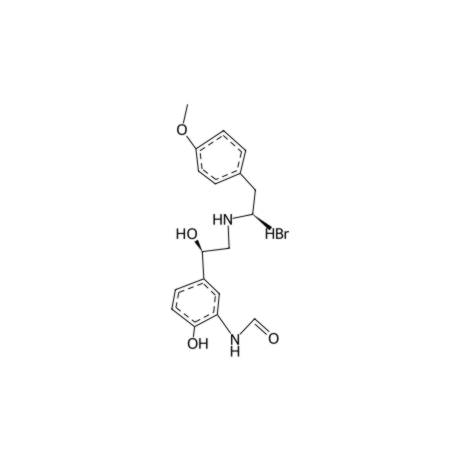 Br.COc1ccc(C[C@@H](C)NC[C@H](O)c2ccc(O)c(NC=O)c2)cc1